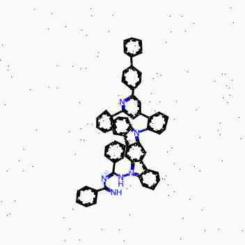 N=C(/N=C(\Nn1c2ccccc2c2cc3c(cc21)c1ccccc1n3-c1ccccc1-c1cc(-c2ccccc2)nc(-c2ccc(-c3ccccc3)cc2)c1)c1ccccc1)c1ccccc1